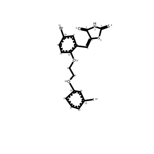 O=C1NC(=S)SC1=Cc1cc(Br)ccc1OCCOc1cccc(I)c1